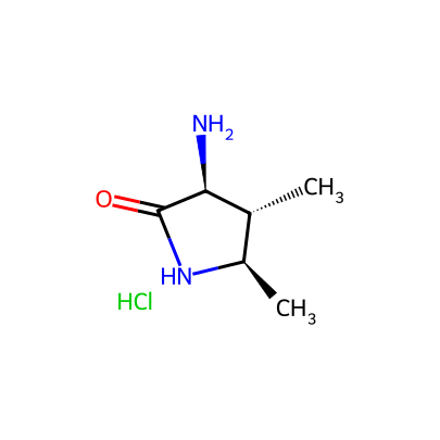 C[C@H]1[C@H](N)C(=O)N[C@@H]1C.Cl